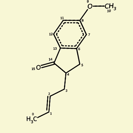 CC=CCC1Cc2cc(OC)ccc2C1=O